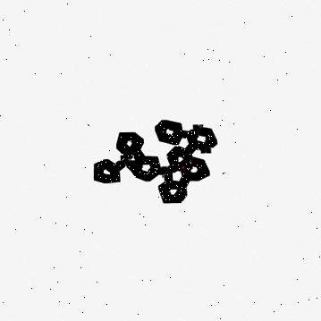 c1ccc(-c2ccccc2N(c2ccc(-c3nccnc3-c3ccccc3)cc2)c2ccc3c(c2)c2ccccc2n3-c2ccccc2)cc1